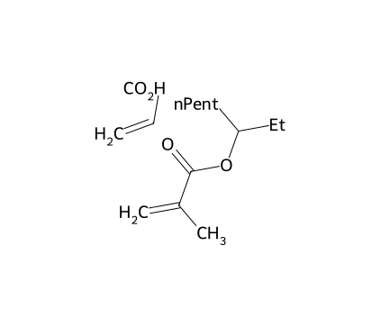 C=C(C)C(=O)OC(CC)CCCCC.C=CC(=O)O